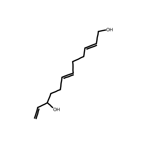 C=CC(O)CC/C=C/CC/C=C/CO